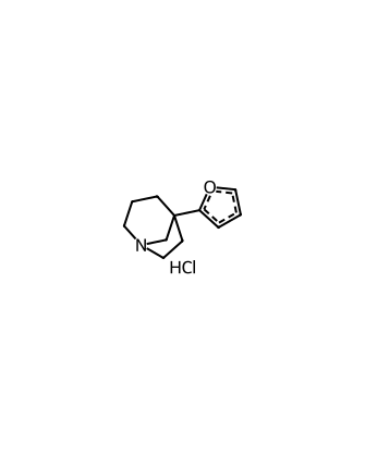 Cl.c1coc(C23CCCN(CC2)C3)c1